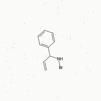 C=CC(NBr)c1ccccc1